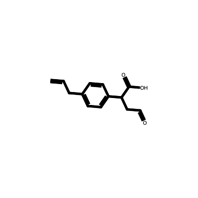 C=CCc1ccc(C(CC=O)C(=O)O)cc1